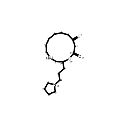 O=C1CCCCCCNCC(CCCN2CCCC2)OC(=O)C1